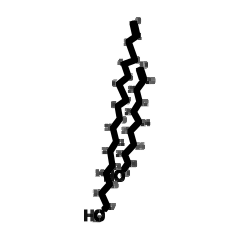 C=CCCCCCCCCCCCCCCCCO.C=CCCCCCCCCO